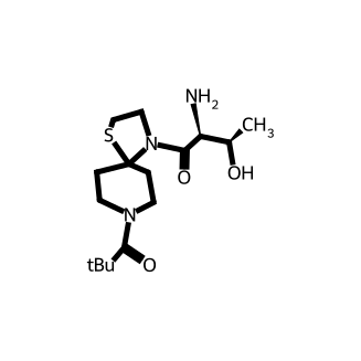 C[C@@H](O)[C@H](N)C(=O)N1CCSC12CCN(C(=O)C(C)(C)C)CC2